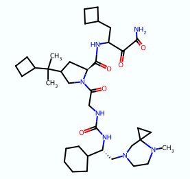 CN1CCN(C[C@@H](NC(=O)NCC(=O)N2CC(C(C)(C)C3CCC3)C[C@H]2C(=O)NC(CC2CCC2)C(=O)C(N)=O)C2CCCCC2)CC12CC2